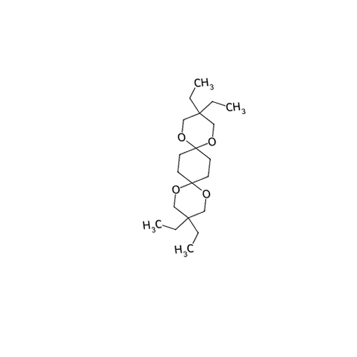 CCC1(CC)COC2(CCC3(CC2)OCC(CC)(CC)CO3)OC1